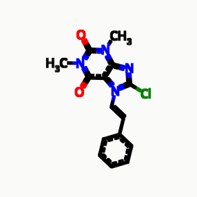 Cn1c(=O)c2c(nc(Cl)n2/C=C/c2ccccc2)n(C)c1=O